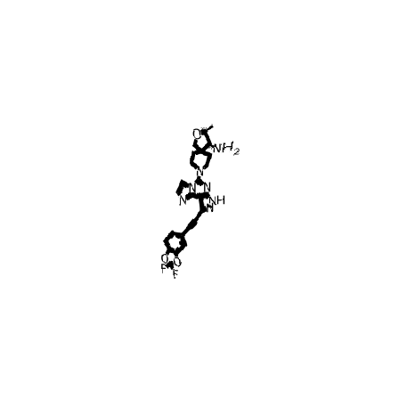 C[C@@H]1OCC2(CCN(c3nc4[nH]nc(C#Cc5ccc6c(c5)OC(F)(F)O6)c4c4nccn34)CC2)[C@@H]1N